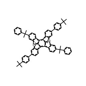 CC(C)(C)c1ccc(-c2ccc3c4c5c6ccc(C(C)(C)c7ccccc7)cc6n6c7cc(-c8ccc(C(C)(C)C)cc8)ccc7c(c7c8ccc(C(C)(C)c9ccccc9)cc8n(c3c2)c47)c56)cc1